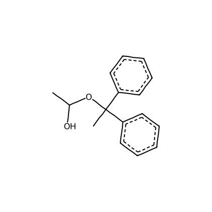 CC(O)OC(C)(c1ccccc1)c1ccccc1